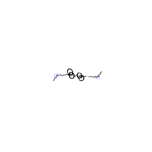 CCCC/C=C\CCCCCCCC(=O)OCCCCOC(=O)CCCCCCC/C=C\CCCC